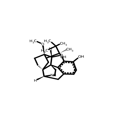 CO[C@]12CC[C@@]3(CC1[C@](C)(O)C(C)(C)C)[C@H]1Cc4ccc(O)c5c4[C@@]3(CCN1)[C@H]2O5